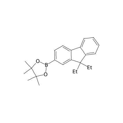 CCC1(CC)c2ccccc2-c2ccc(B3OC(C)(C)C(C)(C)O3)cc21